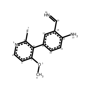 COc1ccnc(F)c1-c1ccc(N)c(C=N)c1